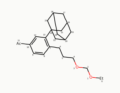 CCOCOCCCc1ccc(C(C)=O)cc1C12CC3CC(CC(C3)C1)C2